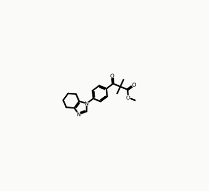 COC(=O)C(C)(C)C(=O)c1ccc(-n2cnc3c2CCCC3)cc1